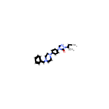 CCC(C)n1ncn(-c2ccc(N3CCN(Cc4ccccc4)CC3)cc2)c1=O